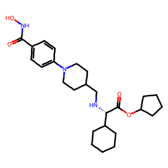 O=C(NO)c1ccc(N2CCC(CN[C@H](C(=O)OC3CCCC3)C3CCCCC3)CC2)cc1